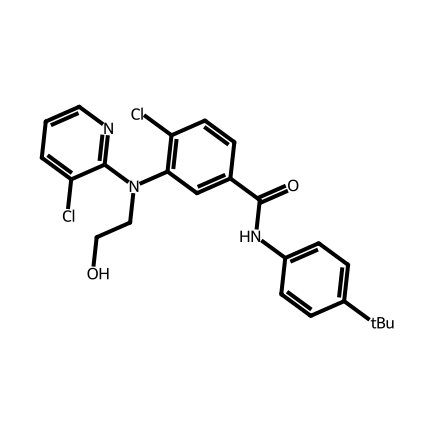 CC(C)(C)c1ccc(NC(=O)c2ccc(Cl)c(N(CCO)c3ncccc3Cl)c2)cc1